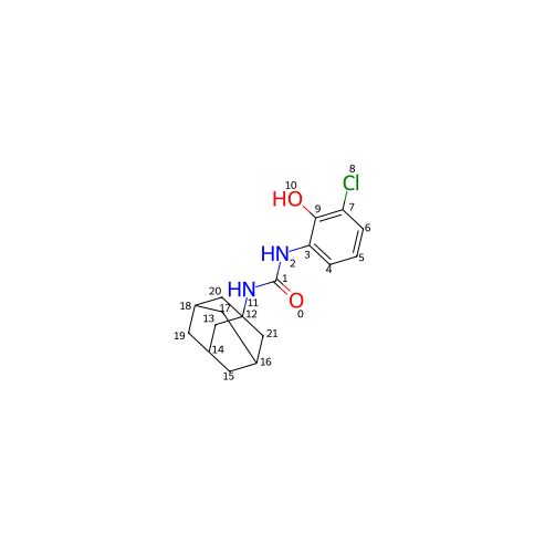 O=C(Nc1cccc(Cl)c1O)NC12CC3CC(CC(C3)C1)C2